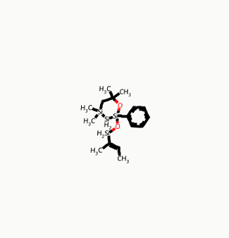 CC=C(C)[SiH2]O[Si]1(c2ccccc2)OC(C)(C)C[Si](C)(C)[SiH2]1